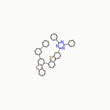 c1ccc(-c2cccc(-c3cc(-c4cccc5c4sc4cc(-c6nc(-c7ccccc7)nc(-c7ccccc7)n6)ccc45)c4c(c3)sc3ccccc34)c2)cc1